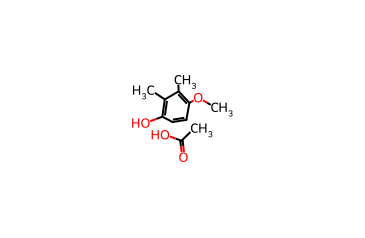 CC(=O)O.COc1ccc(O)c(C)c1C